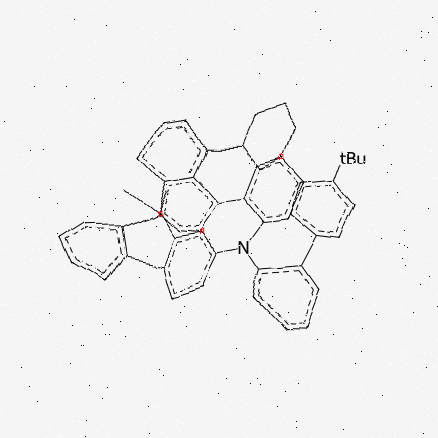 CC(C)(C)c1ccc(-c2ccccc2N(c2ccc3c(c2)C(C)(C)c2ccccc2-3)c2ccccc2-c2cccc3cccc(C4CCCCC4)c23)cc1